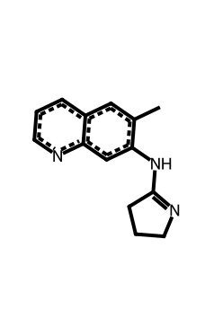 Cc1cc2cccnc2cc1NC1=NCCC1